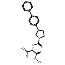 C[C@@H](O)[C@H](NC(=O)N1CCC(c2ccc(-c3ccccc3)cc2)C1)C(=O)NO